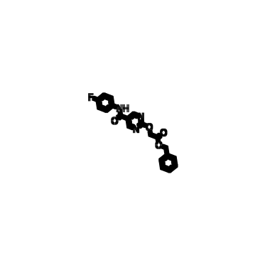 O=C(COc1ncc(C(=O)Nc2ccc(F)cc2)cn1)OCc1ccccc1